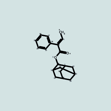 CC=C(C(=O)OC1C2CC3CC(C2)CC1C3)c1ccccc1